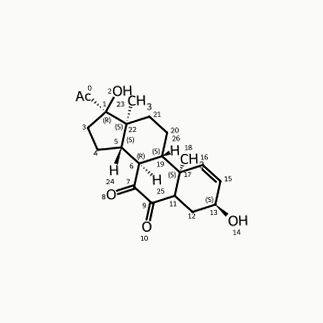 CC(=O)[C@@]1(O)CC[C@H]2[C@@H]3C(=O)C(=O)C4C[C@H](O)C=C[C@]4(C)[C@H]3CC[C@@]21C